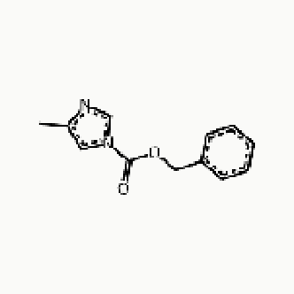 Cc1cn(C(=O)OCc2ccccc2)cn1